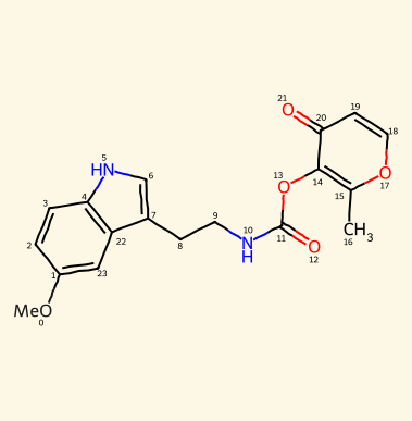 COc1ccc2[nH]cc(CCNC(=O)Oc3c(C)occc3=O)c2c1